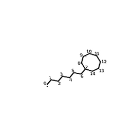 [CH2]CCCCCCC1C[CH]CCCCC1